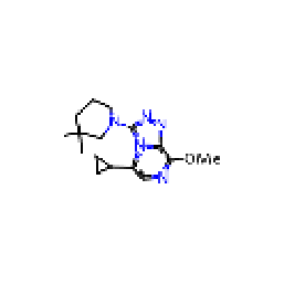 COc1ncc(C2CC2)n2c(N3CCCC(C)(C)C3)nnc12